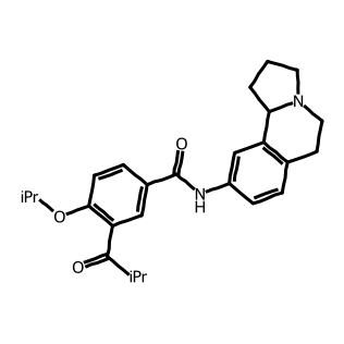 CC(C)Oc1ccc(C(=O)Nc2ccc3c(c2)C2CCCN2CC3)cc1C(=O)C(C)C